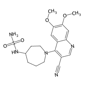 COc1cc2ncc(C#N)c(N3CCCC(NS(N)(=O)=O)CC3)c2cc1OC